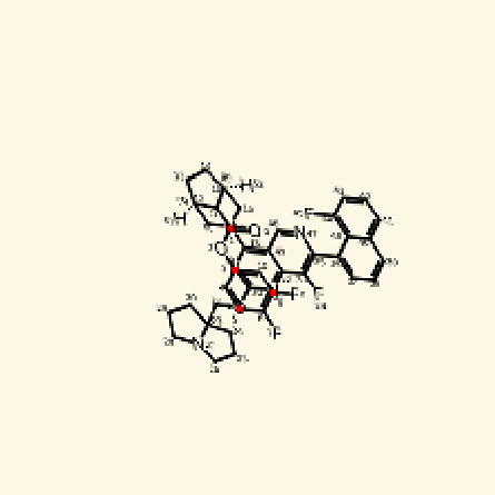 O=C(Oc1ccc(F)c(F)c1)C1[C@@H]2CC[C@H]1CN(c1nc(OCC34CCCN3CCC4)nc3c(F)c(-c4cccc5cccc(F)c45)ncc13)C2